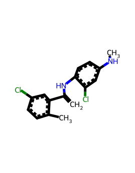 C=C(Nc1ccc(NC)cc1Cl)c1cc(Cl)ccc1C